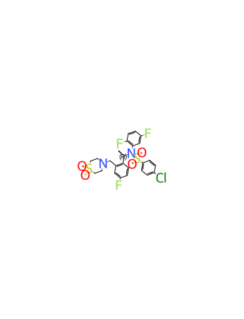 C[C@H](c1ccc(F)cc1CN1CCS(=O)(=O)CC1)N(c1cc(F)ccc1F)S(=O)(=O)c1ccc(Cl)cc1